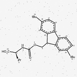 CC(C)[C@H](NC(=O)OCC1c2cc(C(C)(C)C)ccc2-c2ccc(C(C)(C)C)cc21)C(=O)O